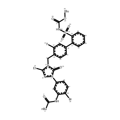 CCCCC(=O)Nc1cc(-n2nc(CC)n(Cc3ccc(-c4ccccc4S(=O)(=O)NC(=O)OC(C)(C)C)cc3F)c2=O)ccc1Br